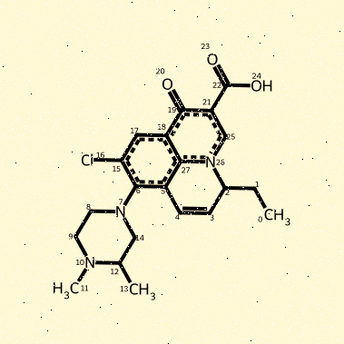 CCC1C=Cc2c(N3CCN(C)C(C)C3)c(Cl)cc3c(=O)c(C(=O)O)cn1c23